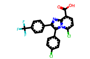 O=C(O)c1ccc(Cl)n2c(-c3ccc(Cl)cc3)c(-c3ccc(C(F)(F)F)cc3)nc12